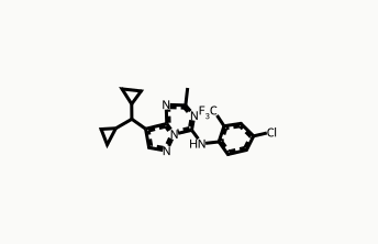 Cc1nc(Nc2ccc(Cl)cc2C(F)(F)F)n2ncc(C(C3CC3)C3CC3)c2n1